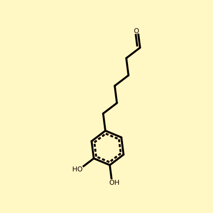 O=CCCCCCc1ccc(O)c(O)c1